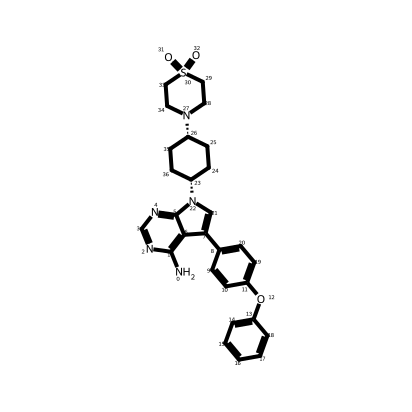 Nc1ncnc2c1c(-c1ccc(Oc3ccccc3)cc1)cn2[C@H]1CC[C@@H](N2CCS(=O)(=O)CC2)CC1